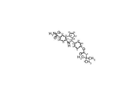 CC(C)(C)CC(=O)Oc1ccc(C2Nc3ccc(S(N)(=O)=O)cc3C3C=CCC32)cc1